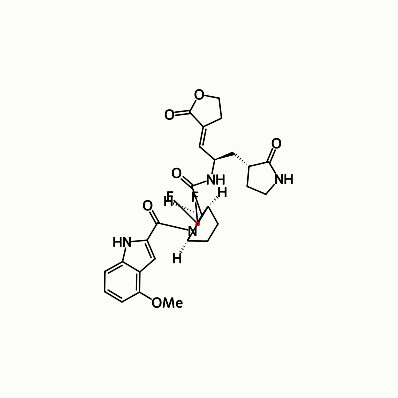 COc1cccc2[nH]c(C(=O)N3[C@@H]4CC[C@H]([C@@H]3C(=O)N[C@@H](/C=C3\CCOC3=O)C[C@H]3CCNC3=O)C(F)(F)C4)cc12